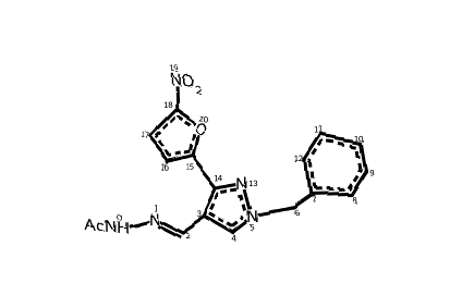 CC(=O)NN=Cc1cn(Cc2ccccc2)nc1-c1ccc([N+](=O)[O-])o1